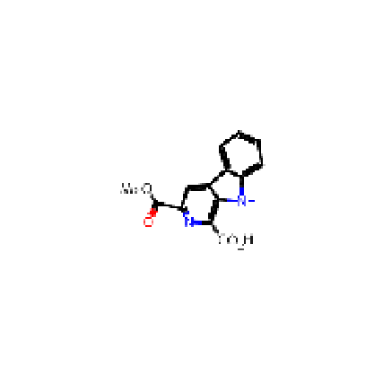 COC(=O)c1cc2c([nH]c3ccccc32)c(C(=O)O)n1